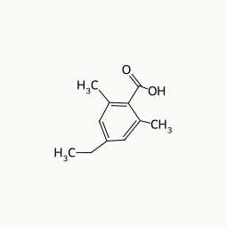 CCc1cc(C)c(C(=O)O)c(C)c1